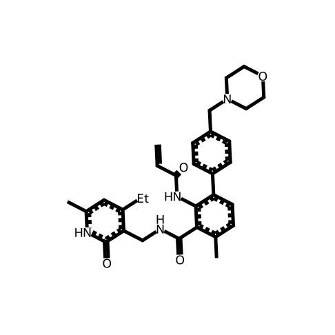 C=CC(=O)Nc1c(-c2ccc(CN3CCOCC3)cc2)ccc(C)c1C(=O)NCc1c(CC)cc(C)[nH]c1=O